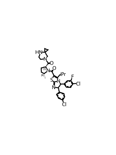 CC(C)C1=C(C(=O)N2[C@H](C)CC[C@H]2C(=O)N2CCNC3(CC3)C2)SC2=NC(c3ccc(Cl)cc3)C(c3ccc(Cl)c(F)c3)N21